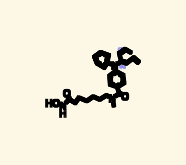 C=C/C=C(\C=C/C)N(c1ccccc1)c1ccc(C(=O)N(C)CCCCCCC(=O)NO)cc1